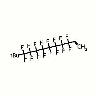 C=CC(F)(F)C(F)(F)C(F)(F)C(F)(F)C(F)(F)C(F)(F)C(F)(F)C(F)(F)CCCC